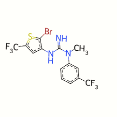 CN(C(=N)Nc1cc(C(F)(F)F)sc1Br)c1cccc(C(F)(F)F)c1